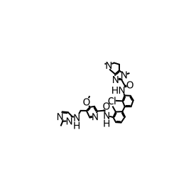 COc1cc(C(=O)Nc2cccc(-c3cccc(NC(=O)c4nc5c(n4C)CCN(C)C5)c3Cl)c2C)ncc1CNc1ccnc(C)n1